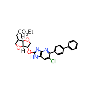 CCOC(=O)CC1CO[C@H]2[C@@H]1OC[C@H]2Oc1nc2nc(-c3ccc(-c4ccccc4)cc3)c(Cl)cc2[nH]1